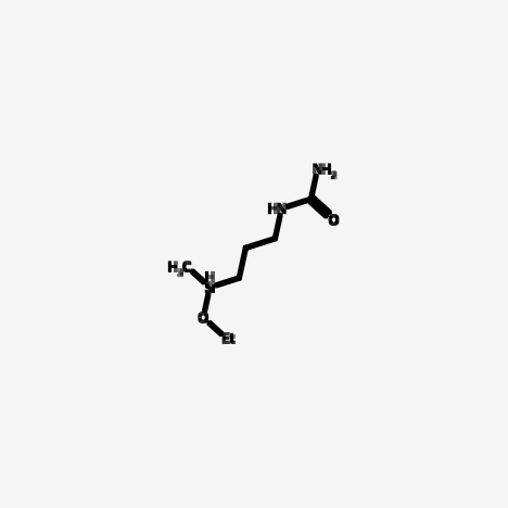 CCO[SiH](C)CCCNC(N)=O